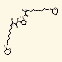 O=C(N[C@H]1CCC[C@H]1NC(=O)/C(F)=C\CCCCCCCOC1CCCCO1)/C(F)=C\CCCCCCCOC1CCCCO1